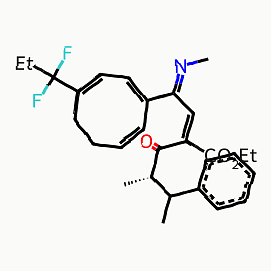 CCOC(=O)/C(=C/C(=N\C)C1=C/C=C(/C(F)(F)CC)CC/C=C\1)C(=O)[C@@H](C)C(C)c1ccccc1